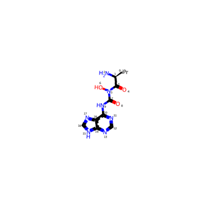 CC(C)[C@H](N)C(=O)N(O)C(=O)Nc1ncnc2[nH]cnc12